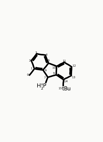 Cc1cccc2c1C(P)c1c-2cccc1C(C)(C)C